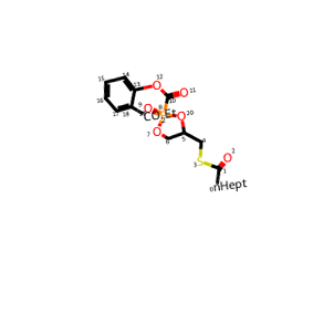 CCCCCCCC(=O)SCC1COP(=O)(C(=O)Oc2ccccc2C(=O)OCC)O1